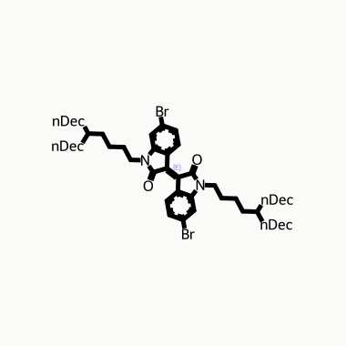 CCCCCCCCCCC(CCCCCCCCCC)CCCCN1C(=O)/C(=C2/C(=O)N(CCCCC(CCCCCCCCCC)CCCCCCCCCC)c3cc(Br)ccc32)c2ccc(Br)cc21